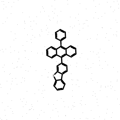 c1ccc(-c2c3ccccc3c(-c3ccc4c(c3)sc3ccccc34)c3ccccc23)cc1